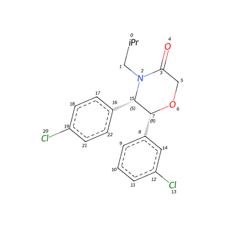 CC(C)CN1C(=O)CO[C@H](c2cccc(Cl)c2)[C@@H]1c1ccc(Cl)cc1